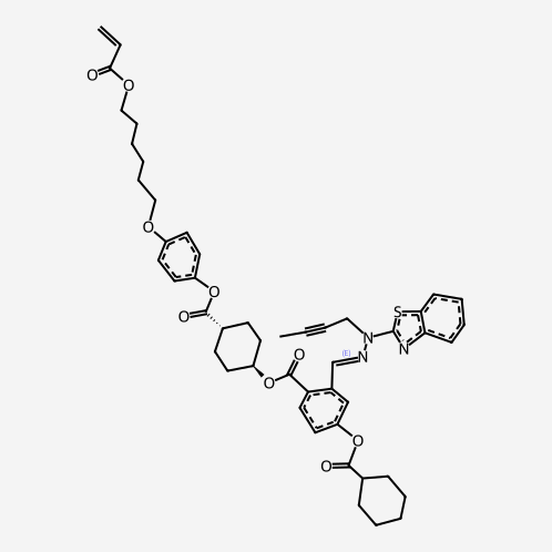 C=CC(=O)OCCCCCCOc1ccc(OC(=O)[C@H]2CC[C@H](OC(=O)c3ccc(OC(=O)C4CCCCC4)cc3/C=N/N(CC#CC)c3nc4ccccc4s3)CC2)cc1